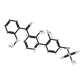 COc1ccccc1C(=O)c1ccnc(-c2ccc(NS(C)(=O)=O)cc2C)c1N